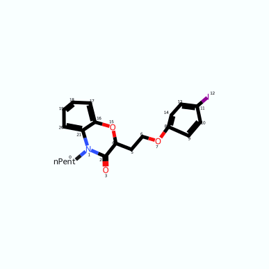 CCCCCN1C(=O)C(CCOc2ccc(I)cc2)Oc2ccccc21